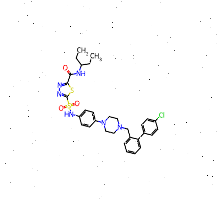 CCC(CC)NC(=O)c1nnc(S(=O)(=O)Nc2ccc(N3CCN(Cc4ccccc4-c4ccc(Cl)cc4)CC3)cc2)s1